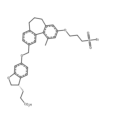 CCS(=O)(=O)CCCOc1cc(C)c2c(c1)CCCc1ccc(COc3ccc4c(c3)OC[C@H]4CCC(=O)O)cc1-2